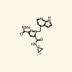 CNC(=O)c1cc(C(=O)N[C@H]2C[C@@H]2C)n(Cc2ccnc3[nH]ccc23)n1